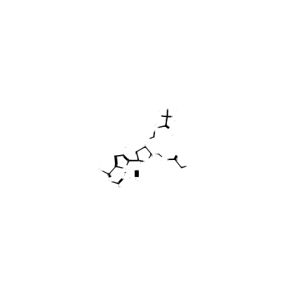 CCC(=O)OC[C@H]1O[C@@](C#N)(c2ccc3c(N)ncnn23)[C@H](O)[C@@H]1OCOC(=O)C(C)(C)C